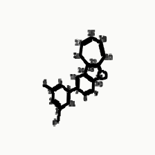 Cc1cc(C)cc(-c2ccc3oc4c(c3c2)CC=CC=C4)c1